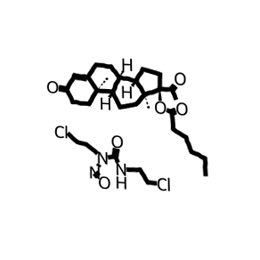 CCCCCC(=O)O[C@]1(C(C)=O)CC[C@H]2[C@@H]3CCC4=CC(=O)CC[C@]4(C)[C@H]3CC[C@@]21C.O=NN(CCCl)C(=O)NCCCl